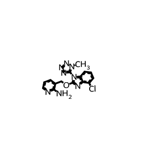 Cn1nnnc1-n1c(OCc2cccnc2N)nc2c(Cl)cccc21